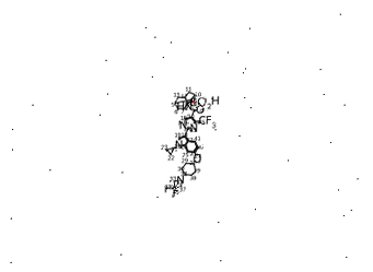 O=C(NC1(C(=O)O)C2CCC3CC1CC3C2)c1cnc(-c2cn(C3CC3)c3cc(O[C@H]4CC[C@@H](N5CC(F)(F)C5)CC4)ccc23)nc1C(F)(F)F